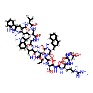 CCC[C@H](NC(=O)[C@H](Cc1ccc2ccccc2c1)NC(=O)S[C@H](NC(=O)[C@@H](NC(=O)[C@H](Cc1c[nH]c2ccccc12)NC(=O)[C@H](CCCCN)CNC(=O)[C@H](NC(=O)[C@@H](C)Cc1c[nH]c2ccccc12)C(C)C)C(C)C)C(N)=O)C(=O)N[C@@H](CO)C(=O)NC(=O)N[C@@H](CCCNC(=N)N)C(=O)N[C@@H](CC(=O)O)C(N)=O